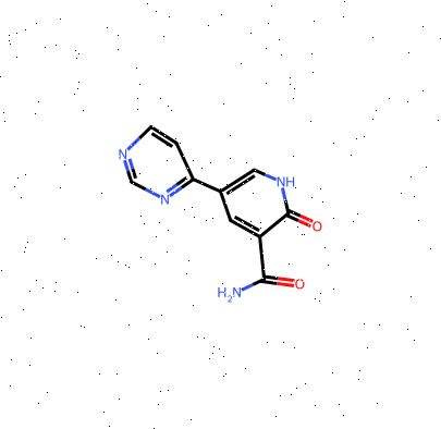 NC(=O)c1cc(-c2ccncn2)c[nH]c1=O